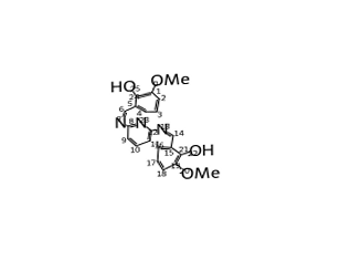 COc1cccc(/C=N\c2cccc(/N=C\c3cccc(OC)c3O)n2)c1O